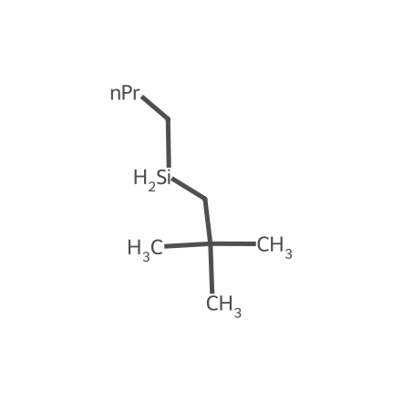 CCCC[SiH2]CC(C)(C)C